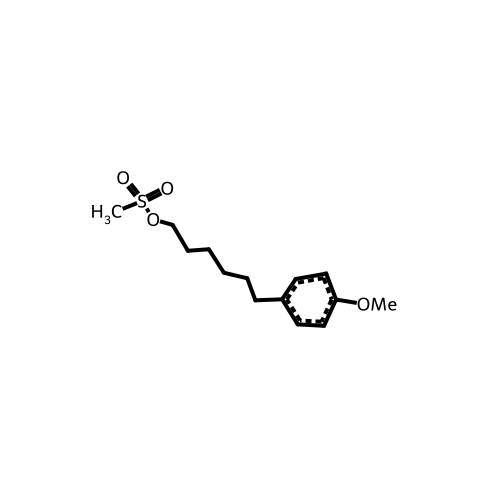 COc1ccc(CCCCCCOS(C)(=O)=O)cc1